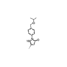 Cc1cc(=O)n(-c2ccc(COC(C)C)cc2)[nH]1